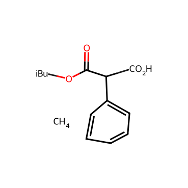 C.CCC(C)OC(=O)C(C(=O)O)c1ccccc1